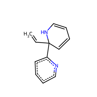 C=CC1(c2ccccn2)C=CC=CN1